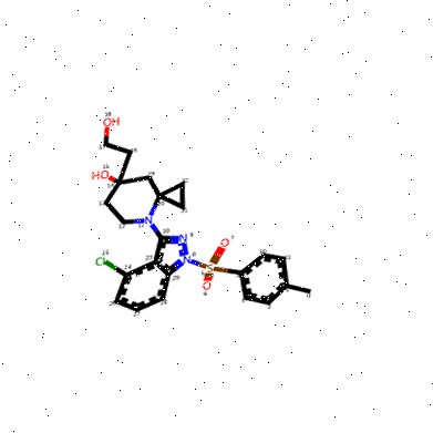 Cc1ccc(S(=O)(=O)n2nc(N3CCC(O)(CCO)CC34CC4)c3c(Cl)cccc32)cc1